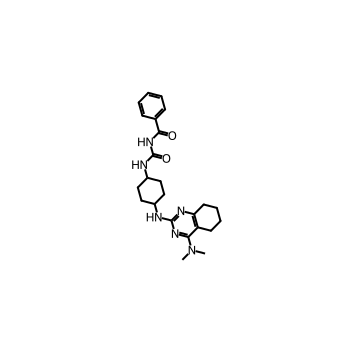 CN(C)c1nc(NC2CCC(NC(=O)NC(=O)c3ccccc3)CC2)nc2c1CCCC2